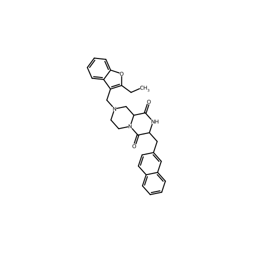 CCc1oc2ccccc2c1CN1CCN2C(=O)C(Cc3ccc4ccccc4c3)NC(=O)C2C1